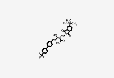 CC(C)(C)c1ccc2c(c1)C(=O)N(CC[C@@H](C(=O)O)[C@@H](O)CCc1ccc(-c3ccc(C(F)(F)F)cc3)cc1)C2=O